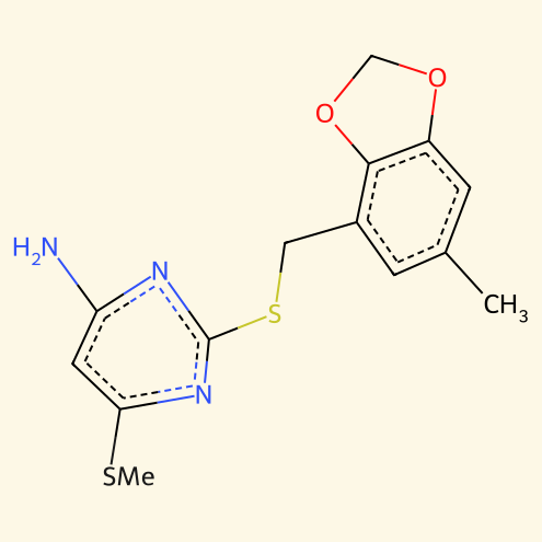 CSc1cc(N)nc(SCc2cc(C)cc3c2OCO3)n1